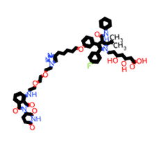 CC(C)c1c(C(=O)Nc2ccccc2)c(-c2cccc(OCCCCCc3cn(CCOCCOCCNc4cccc5c4C(=O)N(C4CCC(=O)NC4=O)C5=O)nn3)c2)c(-c2ccc(F)cc2)n1CC[C@@H](O)C[C@@H](O)CC(=O)O